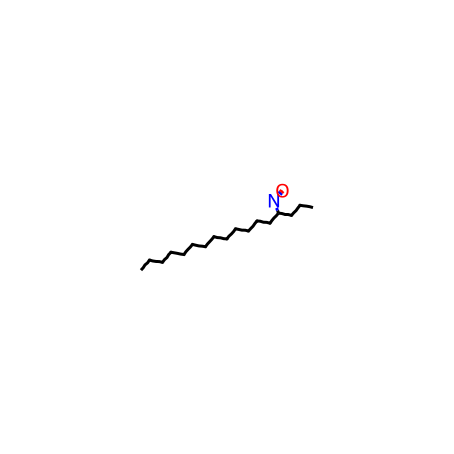 CCCCCCCCCCCCCC(CCC)N=O